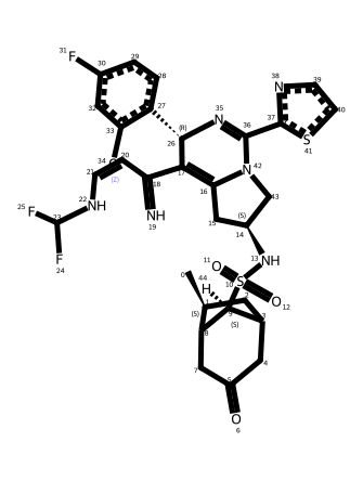 C[C@H]1CC2CC(=O)CC1[C@H]2S(=O)(=O)N[C@H]1CC2=C(C(=N)/C=C\NC(F)F)[C@H](c3ccc(F)cc3Cl)N=C(c3nccs3)N2C1